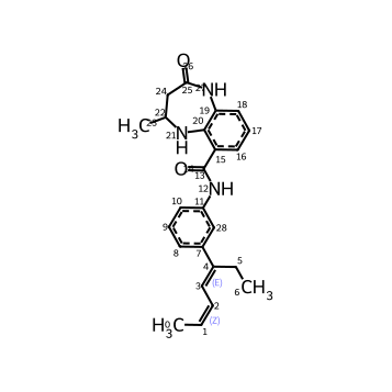 C/C=C\C=C(/CC)c1cccc(NC(=O)c2cccc3c2NC(C)CC(=O)N3)c1